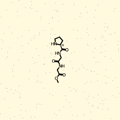 COC(=O)CNC(=O)CNC(=O)[C@@H]1CCCN1